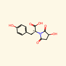 O=C(O)[C@H](Cc1ccc(O)cc1)N1C(=O)CC(O)C1=O